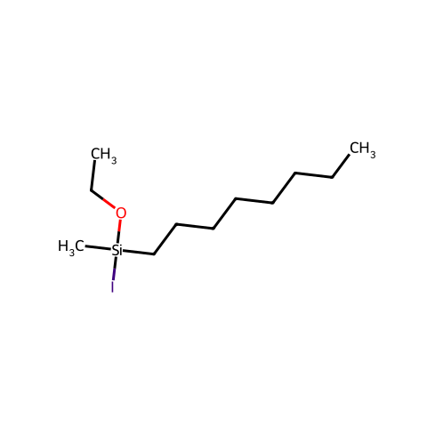 CCCCCCCC[Si](C)(I)OCC